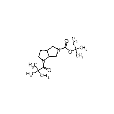 CC(C)(C)OC(=O)N1CC2CCN(C(=O)C(C)(C)C)C2C1